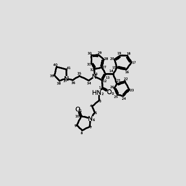 O=C(NCCCN1CCCC1=O)c1c(C(c2ccccc2)c2ccccc2)c2ccccc2n1CCCN1CCCC1